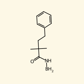 BNC(=O)C(C)(C)CCc1ccccc1